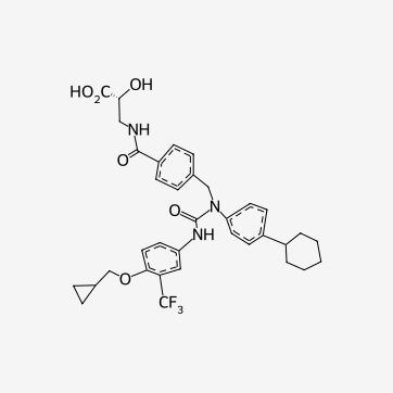 O=C(NC[C@@H](O)C(=O)O)c1ccc(CN(C(=O)Nc2ccc(OCC3CC3)c(C(F)(F)F)c2)c2ccc(C3CCCCC3)cc2)cc1